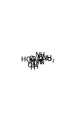 CC(O)[C@H](NC(=O)N[C@@H](CC(N)=O)c1nnc([C@@H](N)Cc2ccccc2)o1)C(=O)O